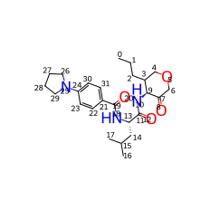 CCCC1COCC(=O)[C@H]1NC(=O)[C@H](CC(C)C)NC(=O)c1ccc(N2CCCC2)cc1